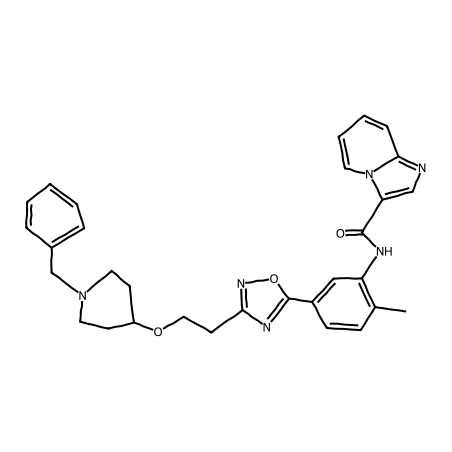 Cc1ccc(-c2nc(CCOC3CCN(Cc4ccccc4)CC3)no2)cc1NC(=O)c1cnc2ccccn12